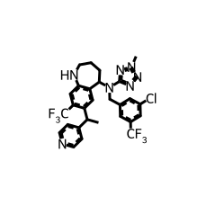 CC(c1ccncc1)c1cc2c(cc1C(F)(F)F)NCCCC2N(Cc1cc(Cl)cc(C(F)(F)F)c1)c1nnn(C)n1